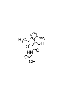 CC1C(=O)C(C(=O)NCC(=O)O)=C(O)c2c(C#N)cccc21